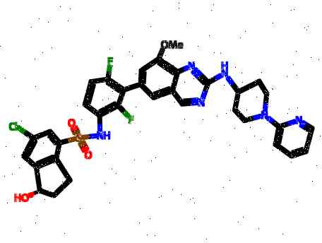 COc1cc(-c2c(F)ccc(NS(=O)(=O)c3cc(Cl)cc4c3CC[C@H]4O)c2F)cc2cnc(NC3CCN(c4ccccn4)CC3)nc12